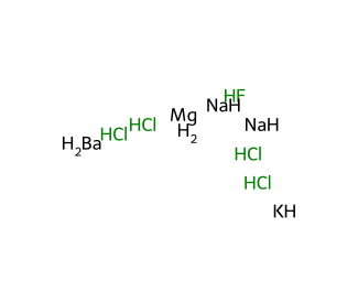 Cl.Cl.Cl.Cl.F.[BaH2].[KH].[MgH2].[NaH].[NaH]